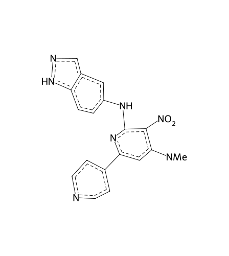 CNc1cc(-c2ccncc2)nc(Nc2ccc3[nH]ncc3c2)c1[N+](=O)[O-]